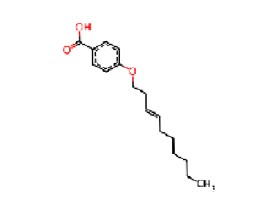 CCCCCCC=CCCOc1ccc(C(=O)O)cc1